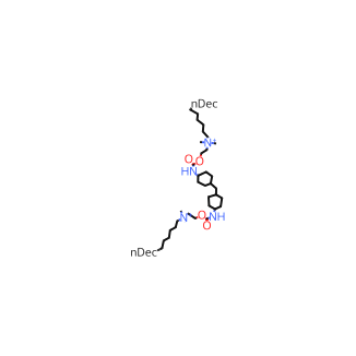 CCCCCCCCCCCCCCCC[N+](C)(C)CCOC(=O)NC1CCC(CC2CCC(NC(=O)OCC[N+](C)(C)CCCCCCCCCCCCCCCC)CC2)CC1